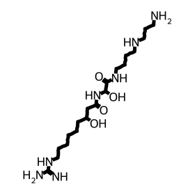 N=C(N)NCCCCCCC(O)CC(=O)NC(O)C(=O)NCCCCNCCCN